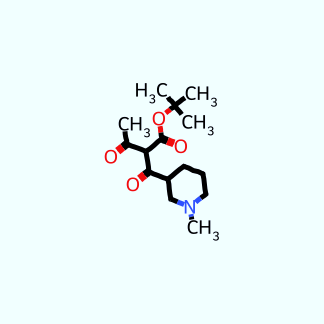 CC(=O)C(C(=O)OC(C)(C)C)C(=O)C1CCCN(C)C1